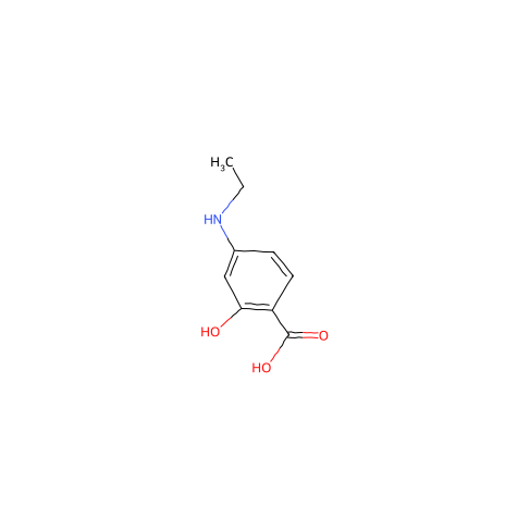 CCNc1ccc(C(=O)O)c(O)c1